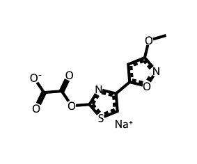 COc1cc(-c2csc(OC(=O)C(=O)[O-])n2)on1.[Na+]